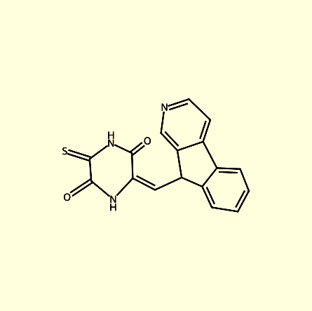 O=C1N/C(=C/C2c3ccccc3-c3ccncc32)C(=O)NC1=S